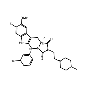 COc1cc2c3c([nH]c2cc1F)[C@@H](C1=CC(O)CC=C1)N1C(=O)N(CCN2CCC(C)CC2)C(=O)[C@]1(C)C3